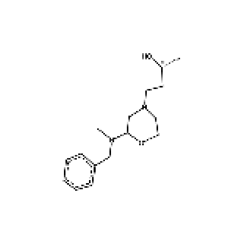 C[C@@H](O)CCN1CCOC(N(C)Cc2ccccc2)C1